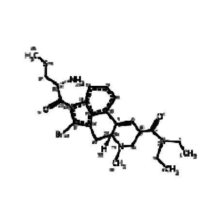 CCN(CC)C(=O)[C@@H]1C=C2c3cccc4c3c(c(Br)n4C(=O)[C@@H](N)CSC)C[C@H]2N(C)C1